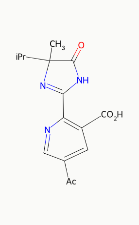 CC(=O)c1cnc(C2=NC(C)(C(C)C)C(=O)N2)c(C(=O)O)c1